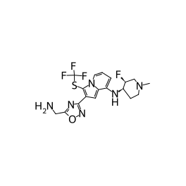 CN1CC[C@@H](Nc2cccn3c(SC(F)(F)F)c(-c4noc(CN)n4)cc23)[C@@H](F)C1